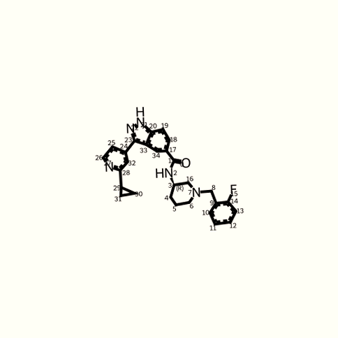 O=C(N[C@@H]1CCCN(Cc2ccccc2F)C1)c1ccc2[nH]nc(-c3ccnc(C4CC4)c3)c2c1